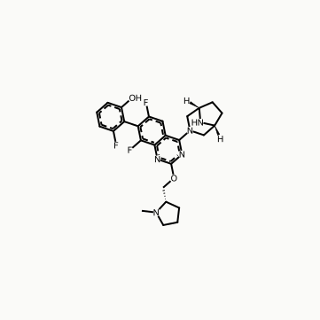 CN1CCC[C@H]1COc1nc(N2C[C@H]3CC[C@@H](C2)N3)c2cc(F)c(-c3c(O)cccc3F)c(F)c2n1